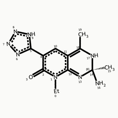 CCn1c(=O)c(-c2nnn[nH]2)cc2c1=N[C@](C)(N)NC=2C